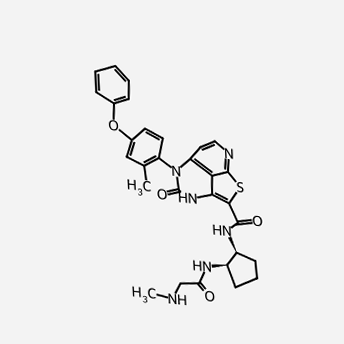 CNCC(=O)N[C@@H]1CCC[C@@H]1NC(=O)c1sc2nccc3c2c1NC(=O)N3c1ccc(Oc2ccccc2)cc1C